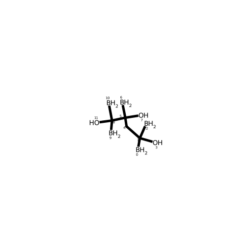 BC(B)(O)CC(B)(O)C(B)(B)O